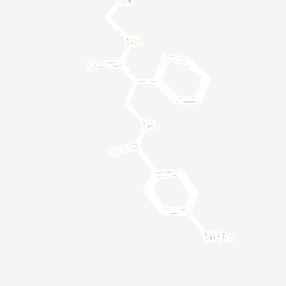 CC(=O)Nc1ccc(C(=O)NCC(C(=O)NCC#N)c2ccccc2)cc1